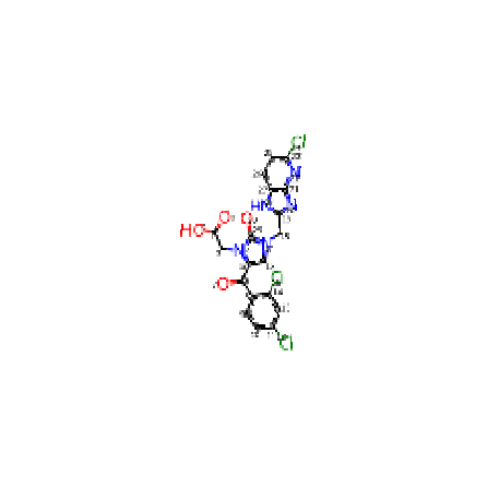 O=C(O)Cn1c(C(=O)c2ccc(Cl)cc2Cl)cn(Cc2nc3nc(Cl)ccc3[nH]2)c1=O